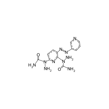 NC(=O)N(N)c1ccc(N=Nc2cccnc2)c(N(N)C(N)=O)n1